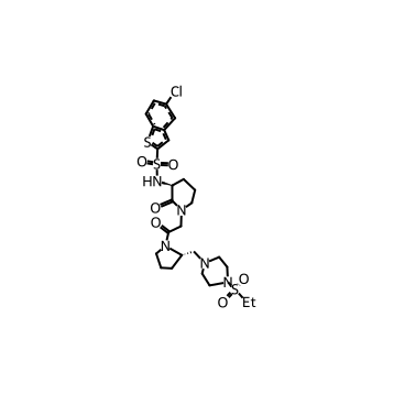 CCS(=O)(=O)N1CCN(C[C@@H]2CCCN2C(=O)CN2CCC[C@H](NS(=O)(=O)c3cc4cc(Cl)ccc4s3)C2=O)CC1